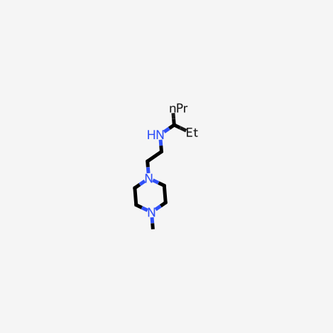 CCCC(CC)NCCN1CCN(C)CC1